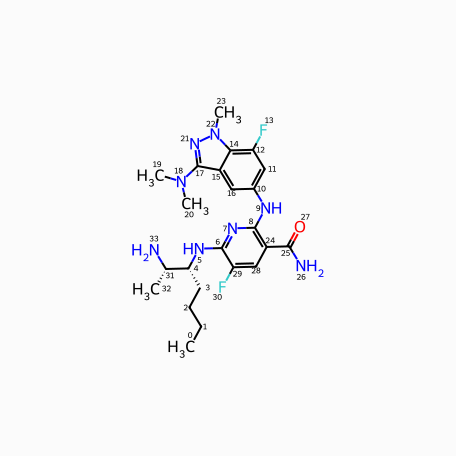 CCCC[C@@H](Nc1nc(Nc2cc(F)c3c(c2)c(N(C)C)nn3C)c(C(N)=O)cc1F)[C@H](C)N